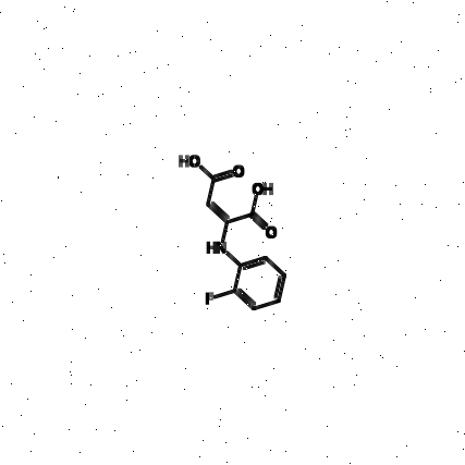 O=C(O)/C=C(/Nc1ccccc1F)C(=O)O